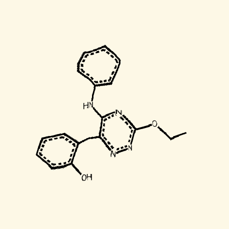 CCOc1nnc(-c2ccccc2O)c(Nc2ccccc2)n1